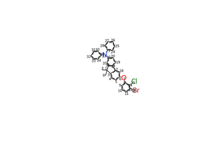 CC1(C)c2ccc(Oc3cccc(Br)c3Cl)cc2-c2ccc(N(c3ccccc3)c3ccccc3)cc21